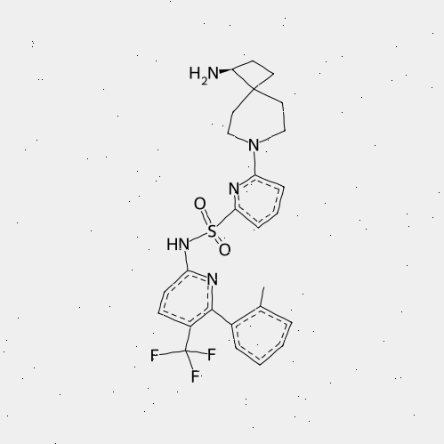 Cc1ccccc1-c1nc(NS(=O)(=O)c2cccc(N3CCC4(CC[C@@H]4N)CC3)n2)ccc1C(F)(F)F